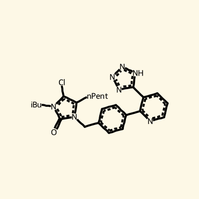 CCCCCc1c(Cl)n(C(C)CC)c(=O)n1Cc1ccc(-c2ncccc2-c2nnn[nH]2)cc1